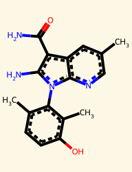 Cc1cnc2c(c1)c(C(N)=O)c(N)n2-c1c(C)ccc(O)c1C